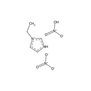 CC[n+]1cc[nH]c1.O=[N+]([O-])O.O=[N+]([O-])[O-]